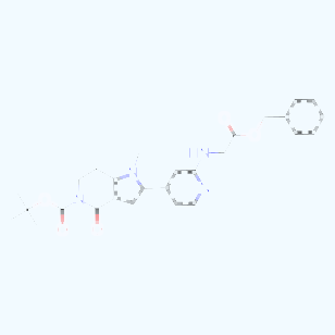 Cn1c(-c2ccnc(NCC(=O)OCc3ccccc3)c2)cc2c1CCN(C(=O)OC(C)(C)C)C2=O